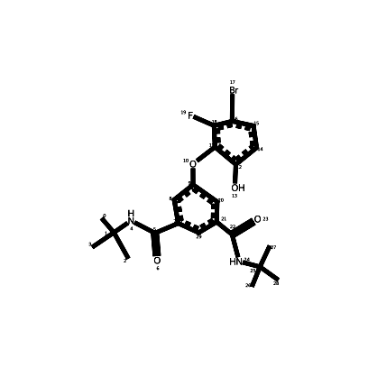 CC(C)(C)NC(=O)c1cc(Oc2c(O)ccc(Br)c2F)cc(C(=O)NC(C)(C)C)c1